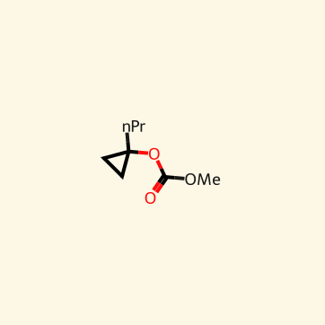 CCCC1(OC(=O)OC)CC1